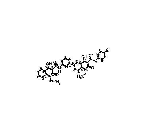 CCn1c(=O)c(C(=O)Nc2ccc(Cl)cn2)c(O)c2cc(-c3cccc(NC(=O)c4c(O)c5ccccc5n(CC)c4=O)n3)ccc21